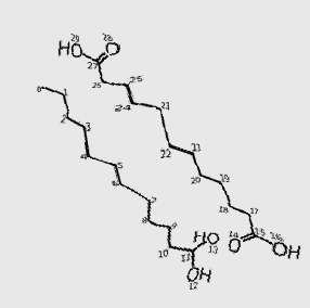 CCCCCCCCCCCC(O)O.O=C(O)CCCCCCCCCCC(=O)O